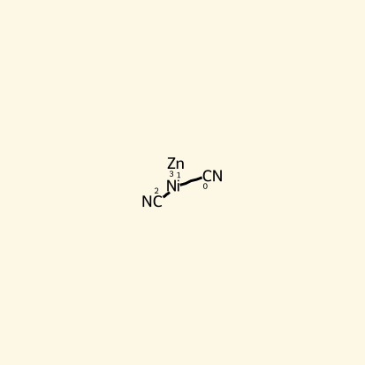 N#[C][Ni][C]#N.[Zn]